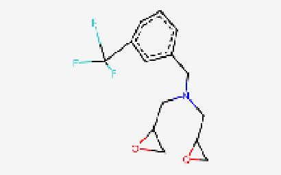 FC(F)(F)c1cccc(CN(CC2CO2)CC2CO2)c1